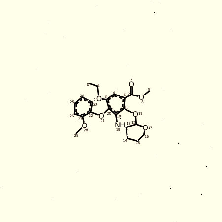 CCOc1cc(C(=O)OC)c(OC2CCCCO2)c(N)c1Oc1ccccc1OC